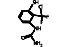 NC(=O)Nc1cccc(S)c1C(F)(F)Cl